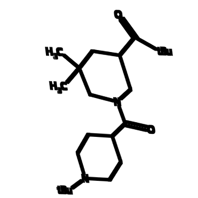 CC1(C)CC(C(=O)C(C)(C)C)CN(C(=O)C2CCN(C(C)(C)C)CC2)C1